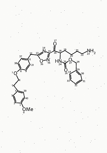 COc1ccc(CCOc2ccc(Cc3nc(C(=O)C(CCCCN)NC(=O)OCc4ccccc4)no3)cc2)cc1